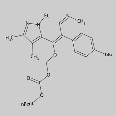 CCCCCOC(=O)OCO/C(=C(/C=N\C)c1ccc(C(C)(C)C)cc1)c1c(C)c(C)nn1CC